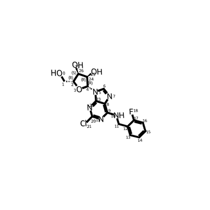 OC[C@H]1O[C@@H](n2cnc3c(NCc4ccccc4F)nc(Cl)nc32)[C@H](O)[C@@H]1O